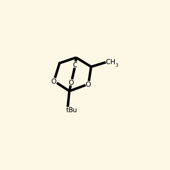 CC1OC2(C(C)(C)C)OCC1CO2